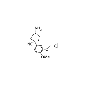 COc1ccc([C@]2(C#N)CC[C@@H](N)CC2)cc1OCC1CC1